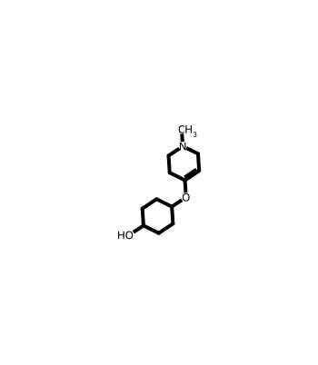 CN1CC=C(OC2CCC(O)CC2)CC1